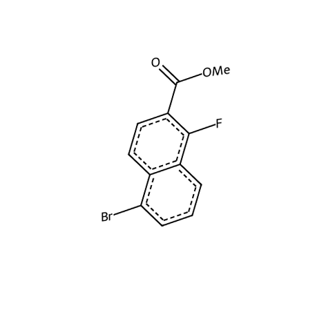 COC(=O)c1ccc2c(Br)cccc2c1F